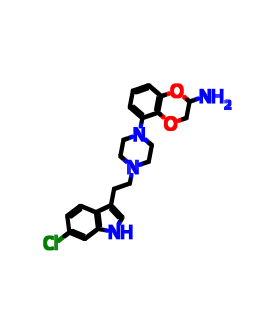 NC1COc2c(cccc2N2CCN(CCc3c[nH]c4cc(Cl)ccc34)CC2)O1